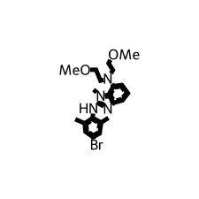 COCCN(CCOC)c1cccc2nc(Nc3c(C)cc(Br)cc3C)n(C)c12